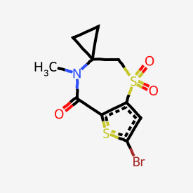 CN1C(=O)c2sc(Br)cc2S(=O)(=O)CC12CC2